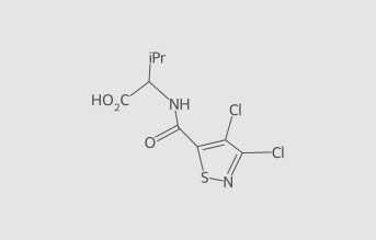 CC(C)C(NC(=O)c1snc(Cl)c1Cl)C(=O)O